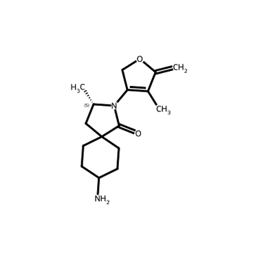 C=C1OCC(N2C(=O)C3(CCC(N)CC3)C[C@@H]2C)=C1C